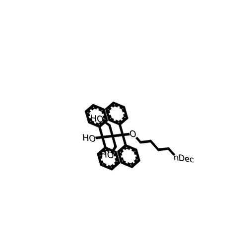 CCCCCCCCCCCCCCOC(c1ccccc1)(c1ccccc1)C(CO)(CO)C(O)(c1ccccc1)c1ccccc1